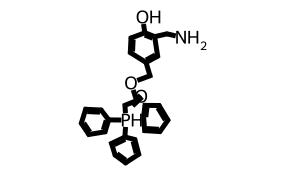 NCc1cc(COC(=O)C[PH](c2ccccc2)(c2ccccc2)c2ccccc2)ccc1O